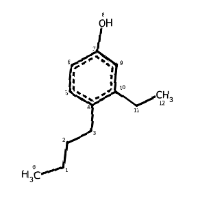 CCCCc1ccc(O)cc1CC